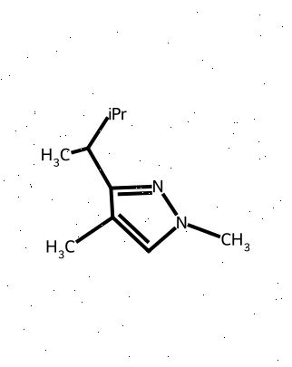 Cc1cn(C)nc1C(C)C(C)C